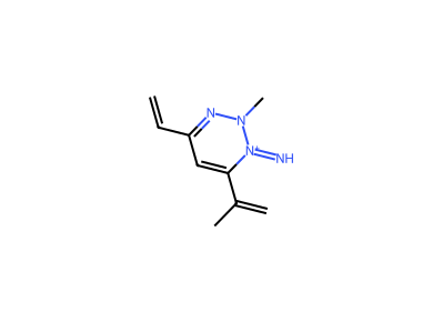 C=CC1=NN(C)[N+](=N)C(C(=C)C)=C1